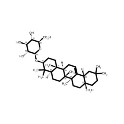 CC1(C)CC[C@]2(C(=O)O)CC[C@]3(C)C(=CC[C@@H]4[C@@]5(C)CC[C@H](O[C@@H]6O[C@H](C(=O)O)[C@@H](O)[C@H](O)[C@H]6O)C(C)(C)[C@@H]5CC[C@]43C)[C@@H]2C1